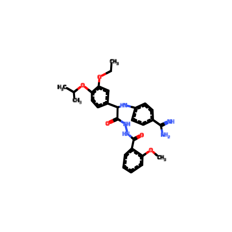 CCOc1cc(C(Nc2ccc(C(=N)N)cc2)C(=O)NNC(=O)c2ccccc2OC)ccc1OC(C)C